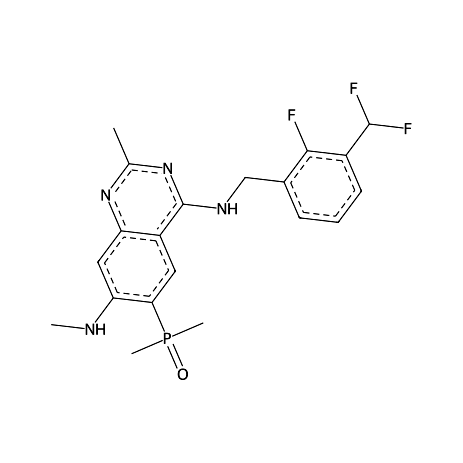 CNc1cc2nc(C)nc(NCc3cccc(C(F)F)c3F)c2cc1P(C)(C)=O